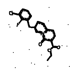 CCOC(=O)c1ccc2ccc(Cc3cccc(Cl)c3F)cn2c1=O